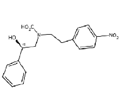 O=C(O)N(CCc1ccc([N+](=O)[O-])cc1)C[C@H](O)c1ccccc1